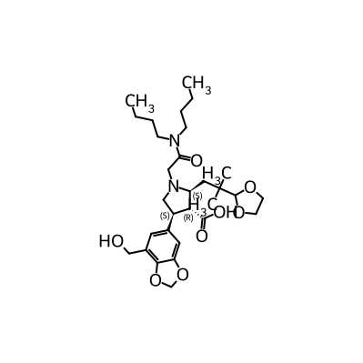 CCCCN(CCCC)C(=O)CN1C[C@H](c2cc(CO)c3c(c2)OCO3)[C@@H](C(=O)O)[C@@H]1CC(C)(C)C1OCCO1